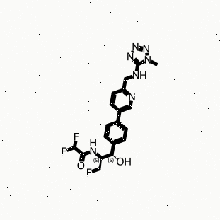 Cn1nnnc1NCc1ccc(-c2ccc([C@H](O)[C@@H](CF)NC(=O)C(F)F)cc2)cn1